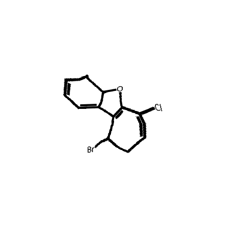 ClC1=CCC(Br)C2=C1OC1CC=CC=C21